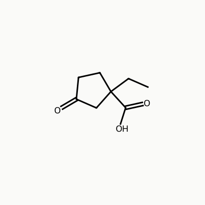 CCC1(C(=O)O)CCC(=O)C1